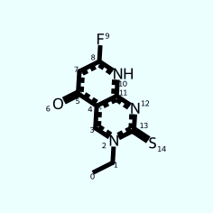 CCn1cc2c(=O)cc(F)[nH]c2nc1=S